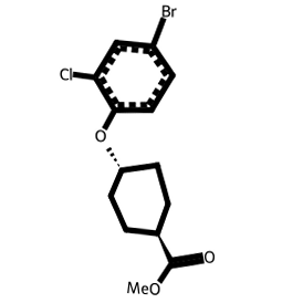 COC(=O)[C@H]1CC[C@H](Oc2ccc(Br)cc2Cl)CC1